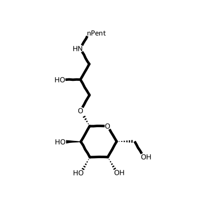 CCCCCNCC(O)CO[C@@H]1O[C@H](CO)[C@H](O)[C@H](O)[C@H]1O